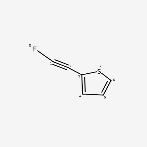 FC#Cc1cc[c]s1